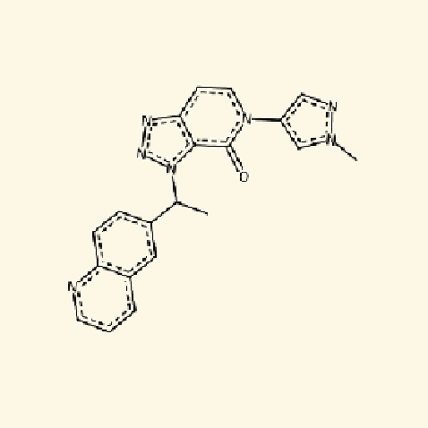 CC(c1ccc2ncccc2c1)n1nnc2ccn(-c3cnn(C)c3)c(=O)c21